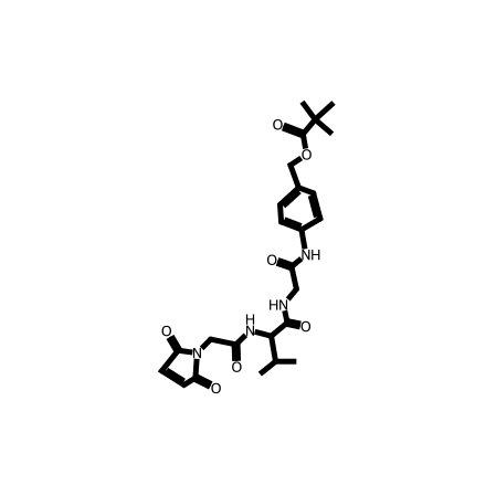 CC(C)C(NC(=O)CN1C(=O)C=CC1=O)C(=O)NCC(=O)Nc1ccc(COC(=O)C(C)(C)C)cc1